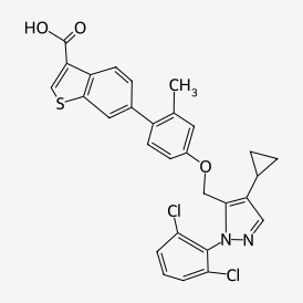 Cc1cc(OCc2c(C3CC3)cnn2-c2c(Cl)cccc2Cl)ccc1-c1ccc2c(C(=O)O)csc2c1